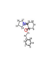 c1ccc(CCO[C@@H]2CCCC[C@@H]2N2CCCC2)cc1